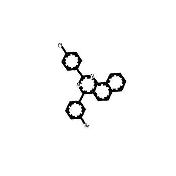 Clc1ccc(-c2nc(-c3cccc(Br)c3)c3ccc4ccccc4c3n2)cc1